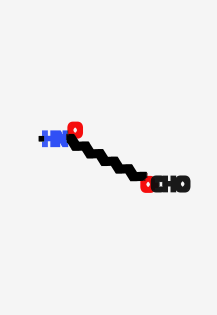 [NH]C(=O)CCCCCCCCCCOC=O